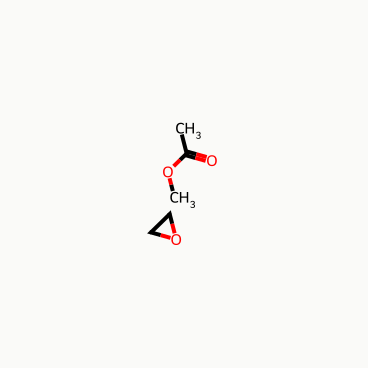 C1CO1.COC(C)=O